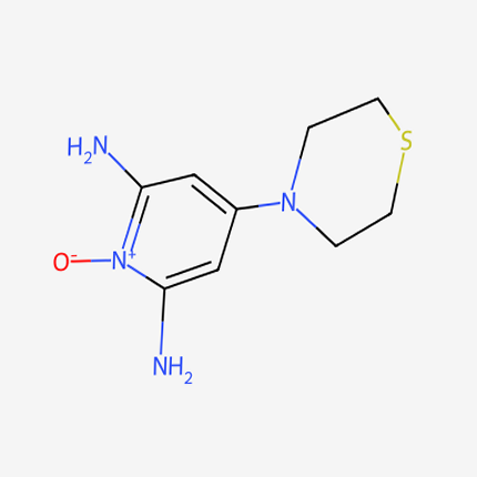 Nc1cc(N2CCSCC2)cc(N)[n+]1[O-]